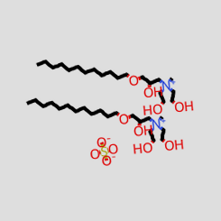 CCCCCCCCCCCCOCC(O)C[N+](C)(CCO)CCO.CCCCCCCCCCCCOCC(O)C[N+](C)(CCO)CCO.O=S(=O)([O-])[O-]